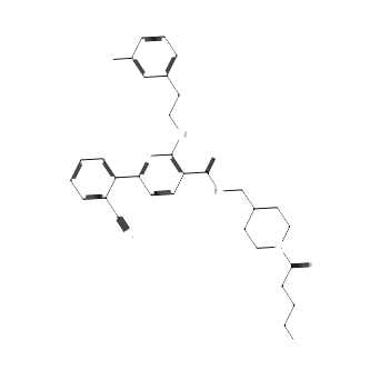 N#Cc1ccccc1-c1ccc(C(=O)NCC2CCN(C(=O)CCCN)CC2)c(NCCc2cccc(F)c2)n1